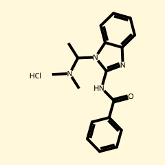 CC(N(C)C)n1c(NC(=O)c2ccccc2)nc2ccccc21.Cl